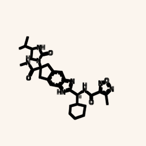 CNC(=O)C1(N2CC(C(C)C)NC2=O)Cc2cc3nc([C@@H](NC(=O)c4nonc4C)C4CCCCC4)[nH]c3cc2C1